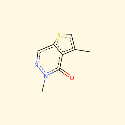 Cc1csc2cnn(C)c(=O)c12